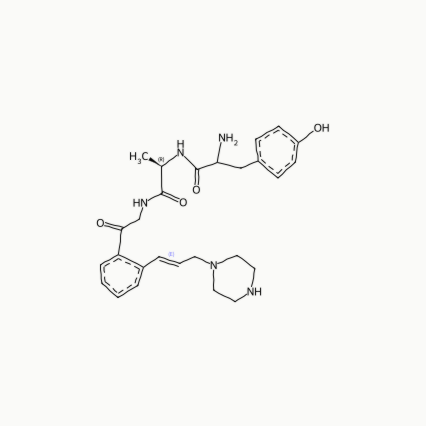 C[C@@H](NC(=O)C(N)Cc1ccc(O)cc1)C(=O)NCC(=O)c1ccccc1/C=C/CN1CCNCC1